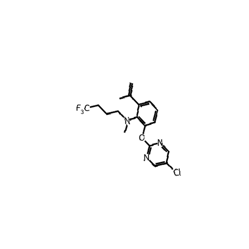 C=C(C)c1cccc(Oc2ncc(Cl)cn2)c1N(C)CCCC(F)(F)F